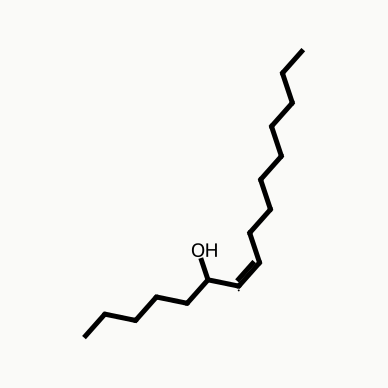 CCCCCCCC/C=[C]\C(O)CCCCC